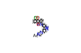 CC(=O)N1CCN(c2ccc(/N=N\c3ccc(Nc4cccc5c4C(=O)c4cccc(Cl)c4C5=O)cc3)cc2)CC1